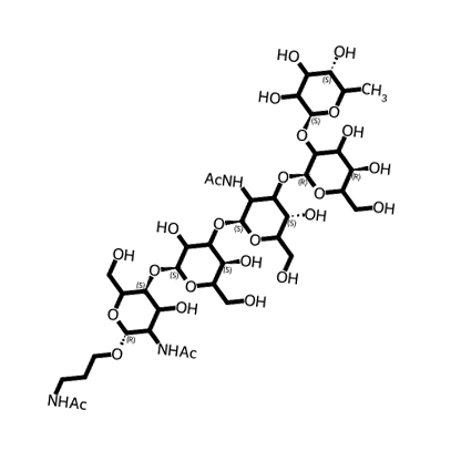 CC(=O)NCCCO[C@@H]1OC(CO)[C@@H](O[C@@H]2OC(CO)[C@H](O)C(O[C@@H]3OC(CO)[C@@H](O)C(O[C@@H]4OC(CO)[C@H](O)C(O)C4O[C@@H]4OC(C)[C@@H](O)C(O)C4O)C3NC(C)=O)C2O)C(O)C1NC(C)=O